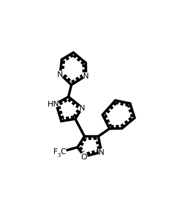 FC(F)(F)c1onc(-c2ccccc2)c1-c1c[nH]c(-c2ncccn2)n1